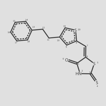 O=C1NC(=S)SC1=Cc1cc(CCc2ccccc2)cs1